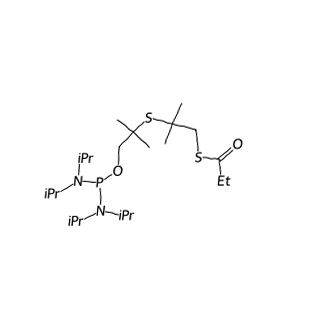 CCC(=O)SCC(C)(C)SC(C)(C)COP(N(C(C)C)C(C)C)N(C(C)C)C(C)C